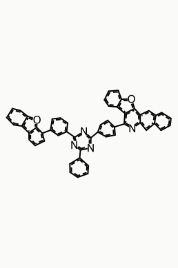 c1ccc(-c2nc(-c3ccc(-c4nc5cc6ccccc6cc5c5oc6ccccc6c45)cc3)nc(-c3cccc(-c4cccc5c4oc4ccccc45)c3)n2)cc1